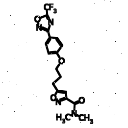 CN(C)C(=O)c1cc(CCCOc2ccc(-c3noc(C(F)(F)F)n3)cc2)on1